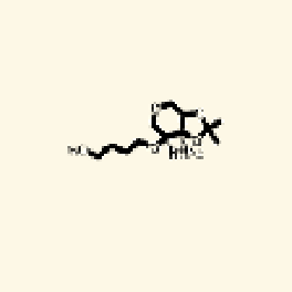 CC(=O)N[C@]1(OCCCCO)COCC2OC(C)(C)O[C@@H]21